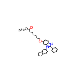 COC(=O)CCCCCCOc1ccc2nc(-c3ccccc3)n(-c3ccc4c(c3)CCC4)c2c1